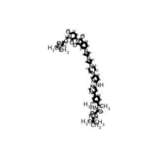 Cc1cc(-c2cc(Nc3ccc(N4CCN(C5CN(C6CN(c7ccc8c(c7)C(=O)N(C7CCC(=O)N(COCC[Si](C)(C)C)C7=O)C8=O)C6)C5)CC4)cn3)ncn2)ccc1[C@@H](C)NC(=O)c1nc(C(C)(C)C)no1